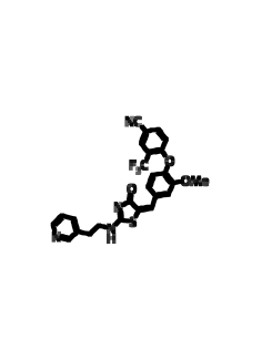 COc1cc(C=C2SC(NCCc3cccnc3)=NC2=O)ccc1Oc1ccc(C#N)cc1C(F)(F)F